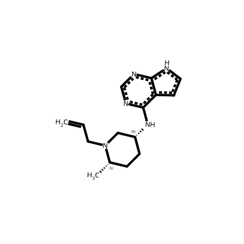 C=CCN1C[C@H](Nc2ncnc3[nH]ccc23)CC[C@@H]1C